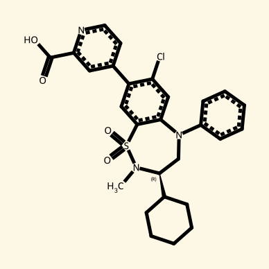 CN1[C@H](C2CCCCC2)CN(c2ccccc2)c2cc(Cl)c(-c3ccnc(C(=O)O)c3)cc2S1(=O)=O